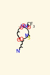 CC(/C=C/C(C)=C/[C@@H]1Cc2nc(cs2)CCC[C@H](NC(=O)C(F)(F)F)C(=O)O[C@@H](C)C/C(C)=C/C=C\C(=O)O1)=C\CN(C)C